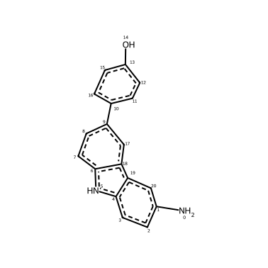 Nc1ccc2[nH]c3ccc(-c4ccc(O)cc4)cc3c2c1